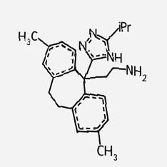 Cc1ccc2c(c1)CCc1cc(C)ccc1C2(CCN)c1nnc(C(C)C)[nH]1